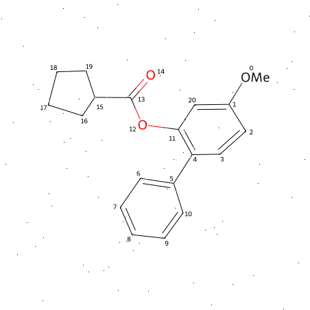 COc1ccc(-c2ccccc2)c(OC(=O)C2CCCC2)c1